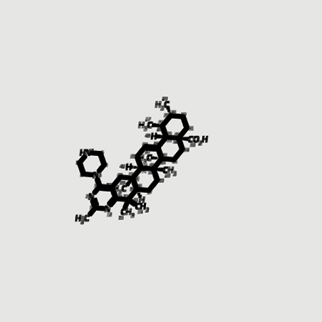 Cc1nc(N2CCNCC2)c2c(n1)C(C)(C)[C@@H]1CC[C@]3(C)[C@H](CC=C4[C@@H]5[C@@H](C)[C@H](C)CC[C@]5(C(=O)O)CC[C@]43C)[C@@]1(C)C2